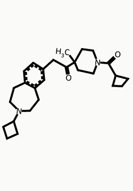 CC1(C(=O)Cc2ccc3c(c2)CCN(C2CCC2)CC3)CCN(C(=O)C2CCC2)CC1